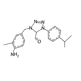 Cc1cc(CN2N=NN(c3ccc(C(C)C)cc3)C2C=O)ccc1N